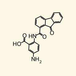 Nc1ccc(NC(=O)c2cccc3c2C(=O)c2ccccc2-3)c(C(=O)O)c1